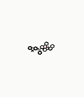 CC1(C)c2ccccc2-c2ccc(N(C3=CCC(C4CC=CCC4N4C5=C(C=CC6CCCCC56)C5CCC=CC54)CC3)c3ccccc3)cc21